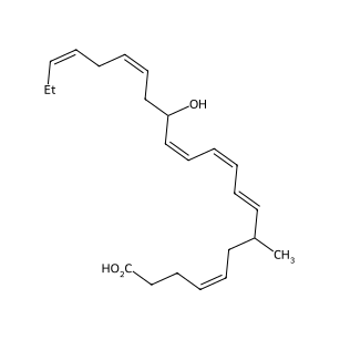 CC/C=C\C/C=C\CC(O)\C=C/C=C\C=C\C(C)C/C=C\CCC(=O)O